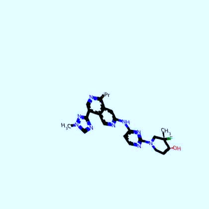 CC(C)c1ncc(-c2ncn(C)n2)c2cnc(Nc3ccnc(N4CC[C@@H](O)[C@@](C)(F)C4)n3)cc12